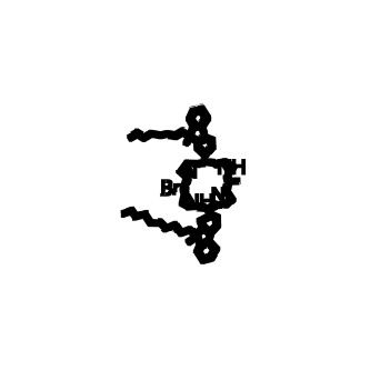 CCCCCCCCCCC1(C)c2ccccc2-c2ccc(-c3c4nc(c(C)c5ccc([nH]5)c(-c5ccc6c(c5)C(C)(CCCCCCCC)c5ccccc5-6)c5nc(c(Br)c6ccc3[nH]6)C=C5)C=C4)cc21